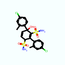 Cc1cc(Cl)ccc1C1=C(S(N)(=O)=O)C(O)(c2ccc(Cl)cc2C)C=CC1S(N)(=O)=O